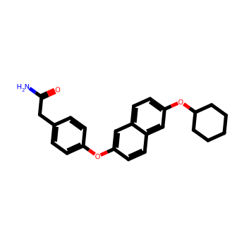 NC(=O)Cc1ccc(Oc2ccc3cc(OC4CCCCC4)ccc3c2)cc1